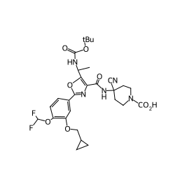 CC(NC(=O)OC(C)(C)C)c1oc(-c2ccc(OC(F)F)c(OCC3CC3)c2)nc1C(=O)NC1(C#N)CCN(C(=O)O)CC1